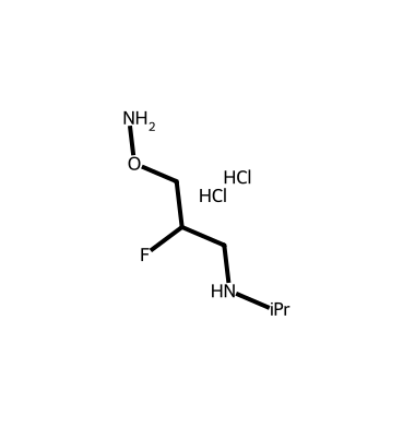 CC(C)NCC(F)CON.Cl.Cl